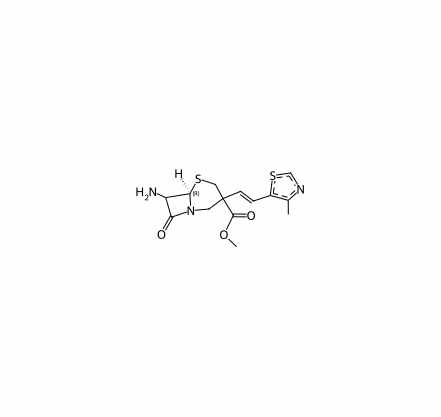 COC(=O)C1(C=Cc2scnc2C)CS[C@@H]2C(N)C(=O)N2C1